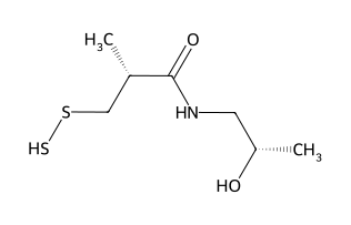 C[C@H](O)CNC(=O)[C@@H](C)CSS